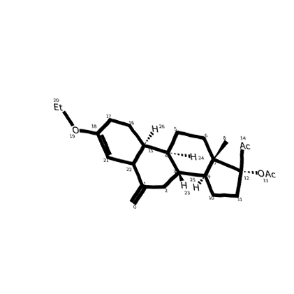 C=C1C[C@@H]2[C@H](CC[C@@]3(C)[C@H]2CC[C@]3(OC(C)=O)C(C)=O)[C@@H]2CCC(OCC)=CC12